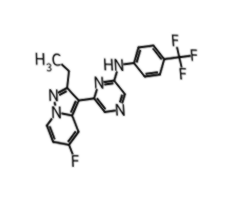 CCc1nn2ccc(F)cc2c1-c1cncc(Nc2ccc(C(F)(F)F)cc2)n1